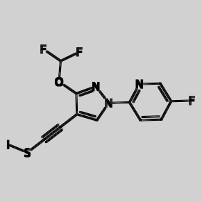 Fc1ccc(-n2cc(C#CSI)c(OC(F)F)n2)nc1